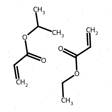 C=CC(=O)OC(C)C.C=CC(=O)OCC